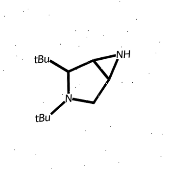 CC(C)(C)C1C2NC2CN1C(C)(C)C